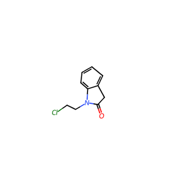 O=C1Cc2ccccc2N1CCCl